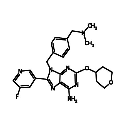 CN(C)Cc1ccc(Cn2c(-c3cncc(F)c3)nc3c(N)nc(OC4CCOCC4)nc32)cc1